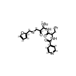 CCCCC(NC(=O)C(CC(C)C)NC(=O)c1ccncc1)C(=O)CSCc1ccco1